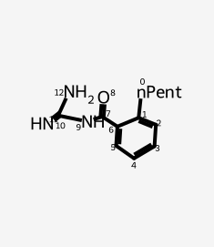 CCCCCc1ccccc1C(=O)NC(=N)N